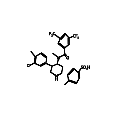 Cc1ccc(C2CNCCC2N(C)C(=O)c2cc(C(F)(F)F)cc(C(F)(F)F)c2)cc1Cl.Cc1ccc(S(=O)(=O)O)cc1